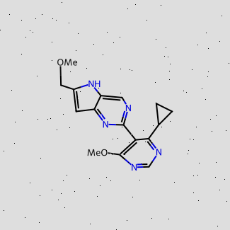 COCc1cc2nc(-c3c(OC)ncnc3C3CC3)ncc2[nH]1